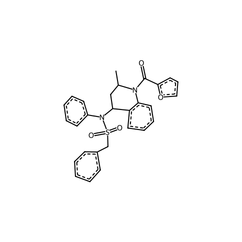 CC1CC(N(c2ccccc2)S(=O)(=O)Cc2ccccc2)c2ccccc2N1C(=O)c1ccco1